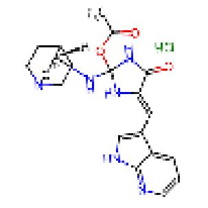 Cl.O=C1NC(N[C@@H]2CN3CCC2CC3)(OC(=O)C(F)(F)F)NC1=Cc1c[nH]c2ncccc12